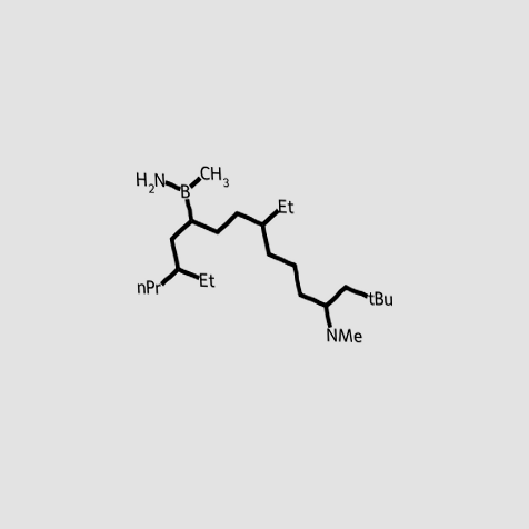 CCCC(CC)CC(CCC(CC)CCCC(CC(C)(C)C)NC)B(C)N